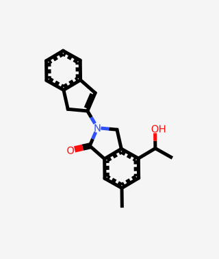 Cc1cc2c(c(C(C)O)c1)CN(C1=Cc3ccccc3C1)C2=O